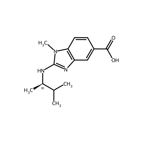 CC(C)[C@@H](C)Nc1nc2cc(C(=O)O)ccc2n1C